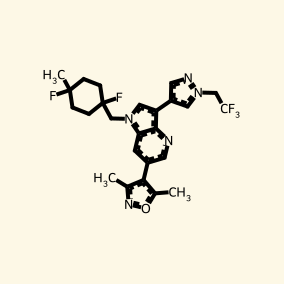 Cc1noc(C)c1-c1cnc2c(-c3cnn(CC(F)(F)F)c3)cn(CC3(F)CCC(C)(F)CC3)c2c1